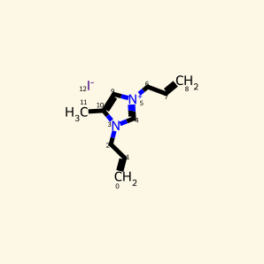 C=CCn1c[n+](CC=C)cc1C.[I-]